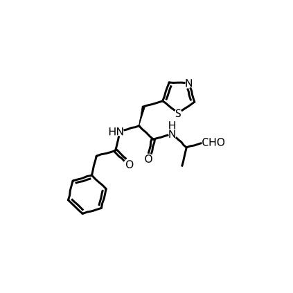 CC(C=O)NC(=O)[C@H](Cc1cncs1)NC(=O)Cc1ccccc1